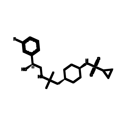 CC(C)(C[C@H]1CC[C@H](NS(=O)(=O)C2CC2)CC1)NC[C@H](O)c1cccc(F)c1